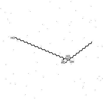 CCCCCCCCCCCCCCC(O)[C@@H](O)[C@@H](CO)NC(=O)CCCCCCCCCCCCCCCCCCCCCCCCCCCO